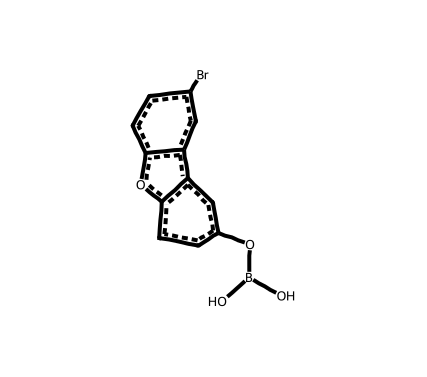 OB(O)Oc1ccc2oc3ccc(Br)cc3c2c1